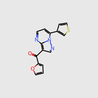 O=C(c1ccco1)c1cnn2c(-c3ccsc3)ccnc12